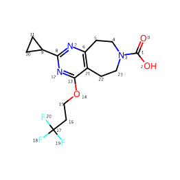 O=C(O)N1CCc2nc(C3CC3)nc(OCCC(F)(F)F)c2CC1